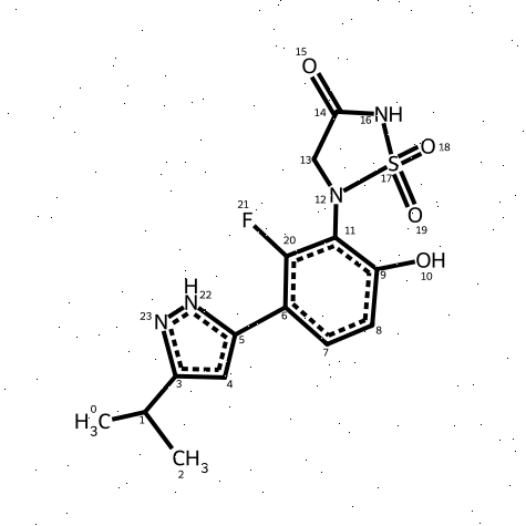 CC(C)c1cc(-c2ccc(O)c(N3CC(=O)NS3(=O)=O)c2F)[nH]n1